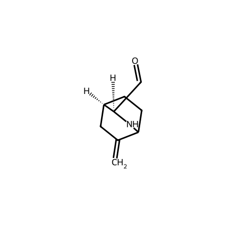 C=C1C[C@H]2CCC1N[C@@H]2C=O